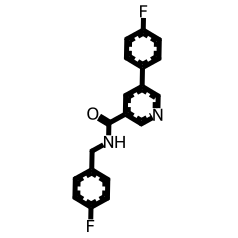 O=C(NCc1ccc(F)cc1)c1cncc(-c2ccc(F)cc2)c1